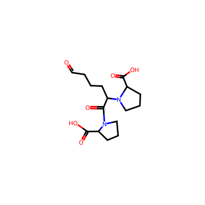 O=CCCCC(C(=O)N1CCCC1C(=O)O)N1CCCC1C(=O)O